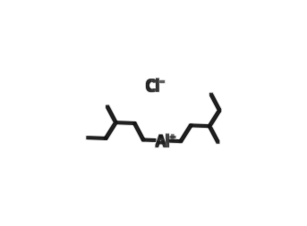 CCC(C)C[CH2][Al+][CH2]CC(C)CC.[Cl-]